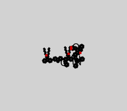 CCCCCCCC1(CCCCCCC)c2ccccc2-c2ccc(-c3ccc4c(c3)C(C)(C)c3cc(-c5cc6c(c7c5oc5ccccc57)-c5ccc(N(c7ccc8c(c7)C(C)(C)c7c9c(c%10oc%11ccccc%11c%10c7-8)-c7ccccc7C9(C)C)c7nc(-c8ccccc8)nc(-c8ccccc8)n7)cc5C6(CCCCCCC)CCCCCCC)ccc3-4)cc21